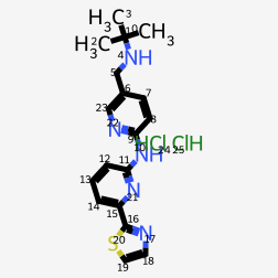 CC(C)(C)NCc1ccc(Nc2cccc(-c3nccs3)n2)nc1.Cl.Cl